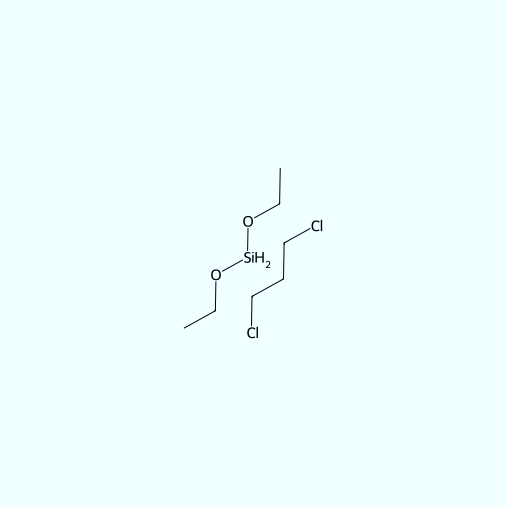 CCO[SiH2]OCC.ClCCCCl